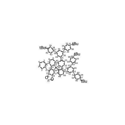 Cc1ccccc1-c1cccc2c1-c1cc3c(cc1C2(c1cccc(-c2cc(-c4ccc(C(C)(C)C)cc4)cc(-c4ccc(C(C)(C)C)cc4)c2)c1)c1cccc(-c2cc(-c4ccc(C(C)(C)C)cc4)cc(-c4ccc(C(C)(C)C)cc4)c2)c1)OCO3